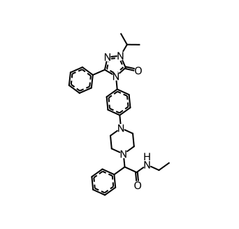 CCNC(=O)C(c1ccccc1)N1CCN(c2ccc(-n3c(-c4ccccc4)nn(C(C)C)c3=O)cc2)CC1